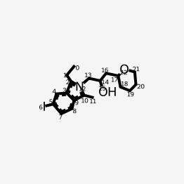 CCc1c2cc(I)ccc2c(C)n1CC(O)CC1CCCCO1